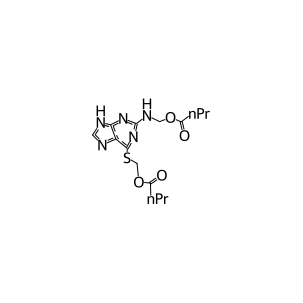 CCCC(=O)OCNc1nc(SCOC(=O)CCC)c2nc[nH]c2n1